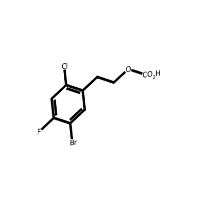 O=C(O)OCCc1cc(Br)c(F)cc1Cl